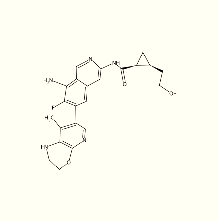 Cc1c(-c2cc3cc(NC(=O)[C@H]4C[C@H]4CCO)ncc3c(N)c2F)cnc2c1NCCO2